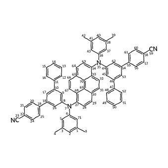 Cc1cc(C)cc(N(c2cc(-c3ccccc3)cc(-c3ccc(C#N)cc3)c2)c2ccc3ccc4c(N(c5cc(C)cc(C)c5)c5cc(-c6ccccc6)cc(-c6ccc(C#N)cc6)c5)ccc5ccc2c3c54)c1